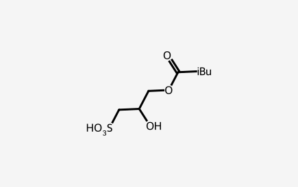 CCC(C)C(=O)OCC(O)CS(=O)(=O)O